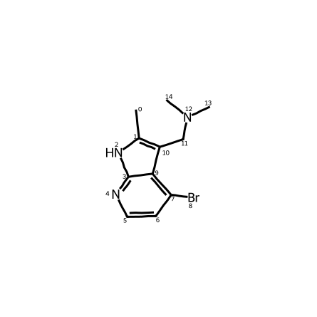 Cc1[nH]c2nccc(Br)c2c1CN(C)C